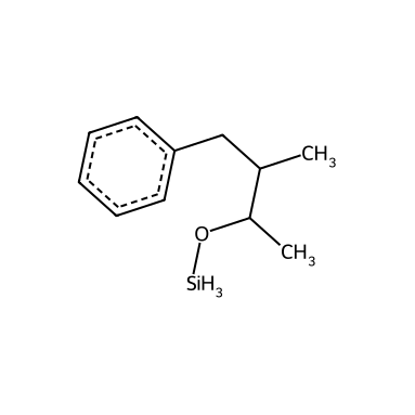 CC(Cc1ccccc1)C(C)O[SiH3]